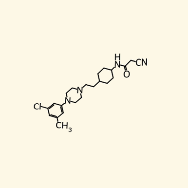 Cc1cc(Cl)cc(N2CCN(CCC3CCC(NC(=O)CC#N)CC3)CC2)c1